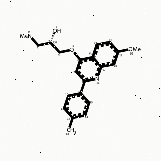 CNC[C@H](O)COc1cc(-c2ccc(C)cc2)nc2cc(OC)ccc12